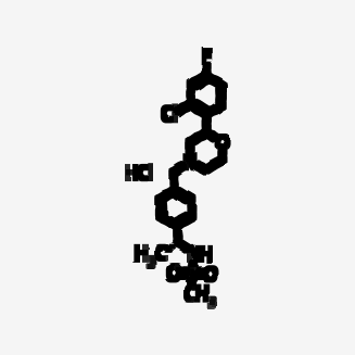 C[C@@H](NS(C)(=O)=O)c1ccc(CN2CCOC(c3ccc(F)cc3Cl)C2)cc1.Cl